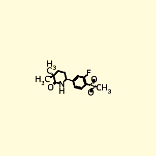 CC1(C)CC[C@@H](c2ccc(S(C)(=O)=O)c(F)c2)NC1=O